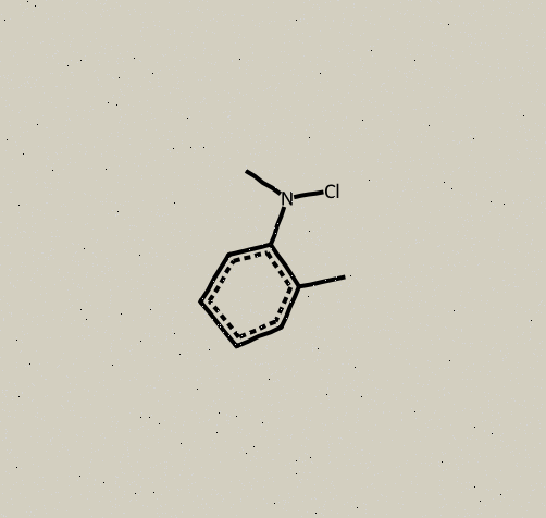 Cc1ccccc1N(C)Cl